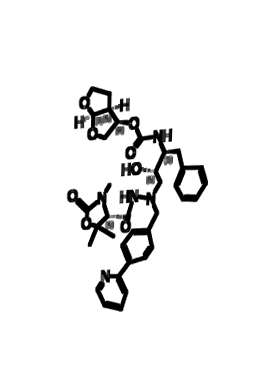 CN1C(=O)OC(C)(C)[C@H]1C(=O)NN(Cc1ccc(-c2ccccn2)cc1)C[C@H](O)[C@H](Cc1ccccc1)NC(=O)O[C@H]1CO[C@H]2OCC[C@H]21